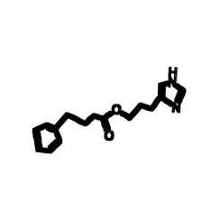 O=C(CCCc1ccccc1)OCCCc1c[nH]cn1